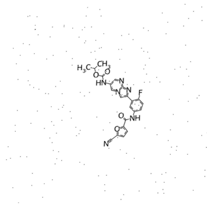 CC(C)OC(=O)Nc1cnc2nc(-c3cc(NC(=O)c4ccc(C#N)o4)ccc3F)cn2c1